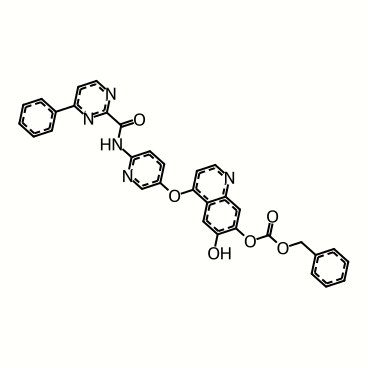 O=C(OCc1ccccc1)Oc1cc2nccc(Oc3ccc(NC(=O)c4nccc(-c5ccccc5)n4)nc3)c2cc1O